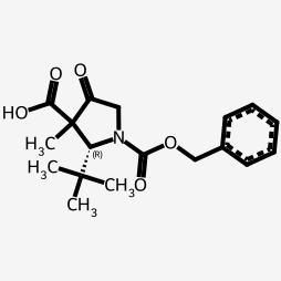 CC(C)(C)[C@H]1N(C(=O)OCc2ccccc2)CC(=O)C1(C)C(=O)O